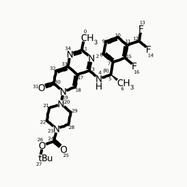 Cc1nc(N[C@H](C)c2cccc(C(F)F)c2F)c2cn(N3CCN(C(=O)OC(C)(C)C)CC3)c(=O)cc2n1